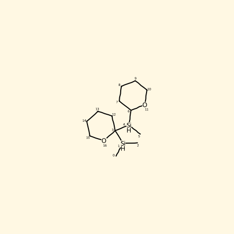 C[SiH](C)C1([SiH](C)C2CCCCO2)CCCCO1